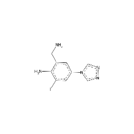 NCc1cc(-n2cnnc2)cc(I)c1N